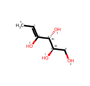 CC=C(O)[C@H](O)[C@H](O)CO